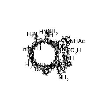 CCCC[C@H](NC(=O)[C@@H]1CCCN1C(=O)[C@@H](NC(C)=O)C(C)C)C(=O)NC1CCSSC[C@@H](C(=O)NC(CCCCN)C(=O)N2CCC[C@H]2C(=O)N2CCC[C@H]2C(=O)N[C@@H](CCC(=O)O)C(N)=O)NC(=O)[C@H](Cc2ccccc2)NC(=O)[C@H](CO)NC(=O)C(C)NC(=O)[C@@H]2CCCN2C(=O)[C@H](CCCC)NC(=O)[C@H](CCCCN)NC(=O)[C@H](CCCNC(=N)N)NC(=O)[C@H](CC(C)C)NC1=O